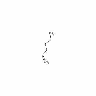 C=CCCCP